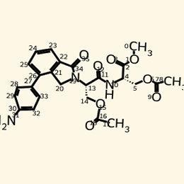 COC(=O)[C@H](COC(C)=O)NC(=O)[C@H](COC(C)=O)N1Cc2c(cccc2-c2ccc(N)cc2)C1=O